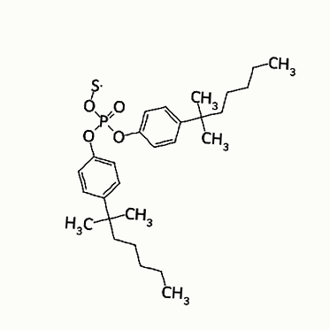 CCCCCC(C)(C)c1ccc(OP(=O)(O[S])Oc2ccc(C(C)(C)CCCCC)cc2)cc1